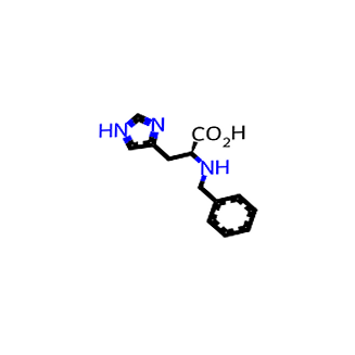 O=C(O)[C@H](Cc1c[nH]cn1)NCc1ccccc1